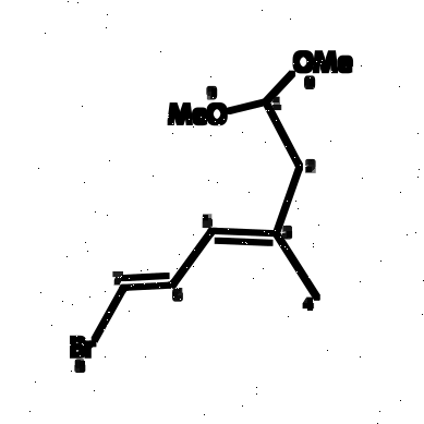 COC(CC(C)=CC=CBr)OC